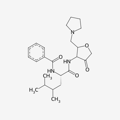 CC(C)C(C)C[C@H](NC(=O)c1ccccc1)C(=O)NC1C(=O)COC1CN1CCCC1